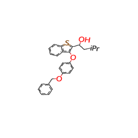 CC(C)CC(O)c1sc2ccccc2c1Oc1ccc(OCc2ccccc2)cc1